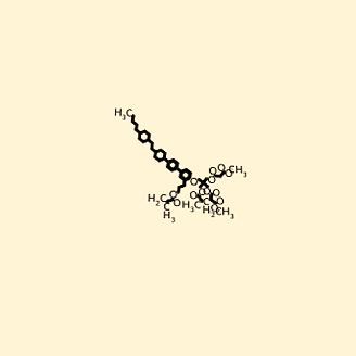 C=C(C)C(=O)OCCCc1cc(-c2ccc(C3CCC(CCC4CCC(CCCCC)CC4)CC3)cc2)ccc1OCC(COC(=O)CC(=O)OC)(COC(=O)CC(=O)OC)COC(=O)C(=C)C